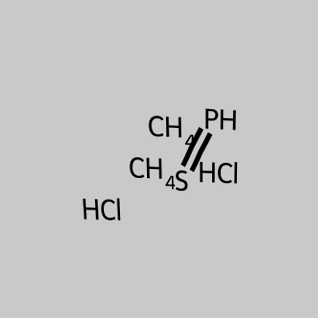 C.C.Cl.Cl.P=S